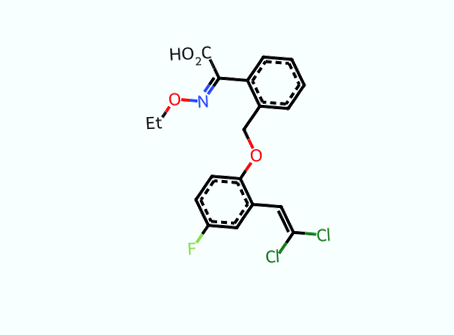 CCON=C(C(=O)O)c1ccccc1COc1ccc(F)cc1C=C(Cl)Cl